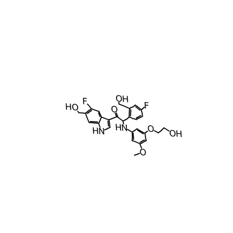 COc1cc(NC(C(=O)c2c[nH]c3cc(CO)c(F)cc23)c2ccc(F)cc2CO)cc(OCCO)c1